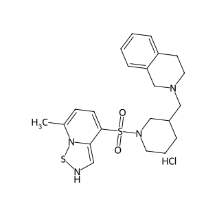 CC1=CC=C(S(=O)(=O)N2CCCC(CN3CCc4ccccc4C3)C2)C2=CNSN12.Cl